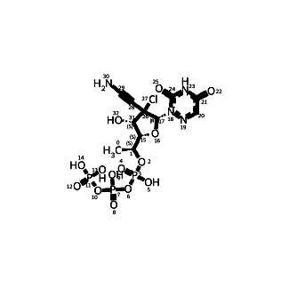 C[C@H](OP(=O)(O)OP(=O)(O)OP(=O)(O)O)[C@H]1O[C@@H](n2ncc(=O)[nH]c2=O)C(Cl)(C#CN)[C@H]1O